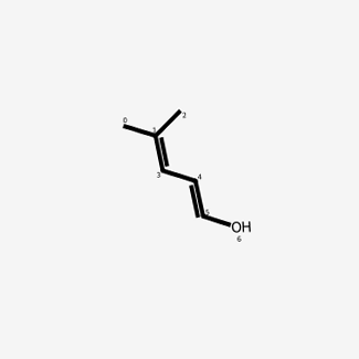 CC(C)=C/C=C/O